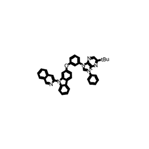 CC(C)(C)c1cnc2c(n1)[n+](-c1ccccc1)cn2-c1cccc(Oc2ccc3c4ccccc4n(-c4cc5ccccc5cn4)c3c2)c1